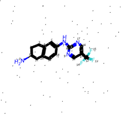 N[C@H]1CCc2cc(Nc3ncc(C(F)(F)F)cn3)ccc2C1